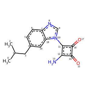 CC(C)Cc1ccc2ncn(-c3c(N)c(=O)c3=O)c2c1